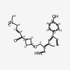 C=C/C(=C\C(C)=C(\C=N)COC1CN(C(=O)/C=C/CN(C)C)C1)c1ccc(O)cc1